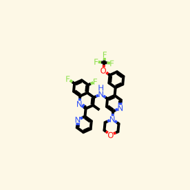 Cc1c(-c2ccccn2)nc2cc(F)cc(F)c2c1Nc1cc(N2CCOCC2)ncc1-c1cccc(OC(F)(F)F)c1